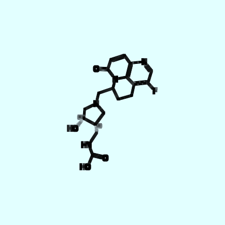 O=C(O)NC[C@H]1CN(CC2CCc3c(F)cnc4ccc(=O)n2c34)C[C@H]1O